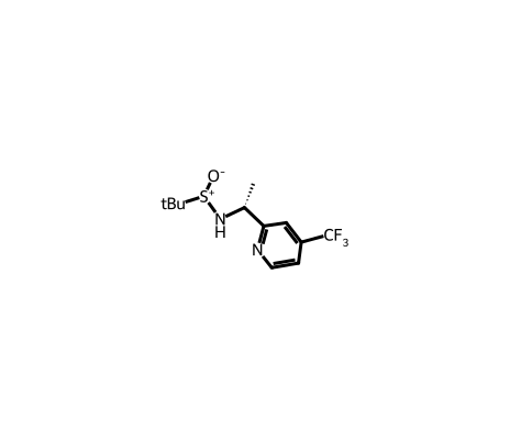 C[C@@H](N[S+]([O-])C(C)(C)C)c1cc(C(F)(F)F)ccn1